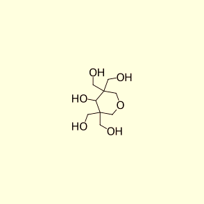 OCC1(CO)COCC(CO)(CO)C1O